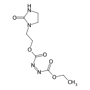 CCOC(=O)/N=N\C(=O)OCCN1CCNC1=O